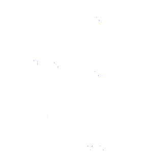 CNC(=O)C1CCN(c2cnccc2-n2cc(C)cn2)CC1